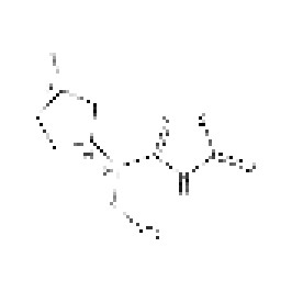 C[C@H]1CC[C@@H]([C@@H](CN)c2nsc(=O)[nH]2)C1